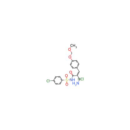 COCOc1ccc(C=C(CN)C(=O)NS(=O)(=O)c2ccc(Cl)cc2)cc1.Cl